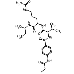 BC[C@@H](C)NC(=O)[C@H](CCCNC(N)=O)NC(=O)C(NC(=O)c1ccc(NC(=O)CI)cc1)C(C)C